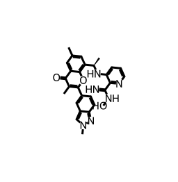 Cc1cc([C@@H](C)Nc2cccnc2C(=N)NO)c2oc(-c3ccc4nn(C)cc4c3)c(C)c(=O)c2c1